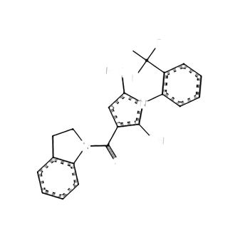 Cc1cc(C(=O)N2CCc3ccccc32)c(C)n1-c1ccccc1C(F)(F)F